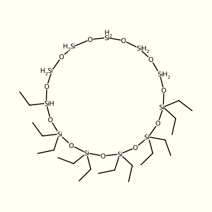 CC[SiH]1O[SiH2]O[SiH2]O[SiH2]O[SiH2]O[SiH2]O[Si](CC)(CC)O[Si](CC)(CC)O[Si](CC)(CC)O[Si](CC)(CC)O[Si](CC)(CC)O1